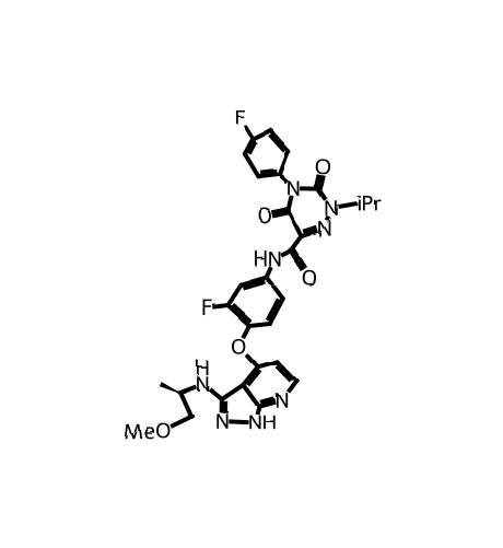 COC[C@@H](C)Nc1n[nH]c2nccc(Oc3ccc(NC(=O)c4nn(C(C)C)c(=O)n(-c5ccc(F)cc5)c4=O)cc3F)c12